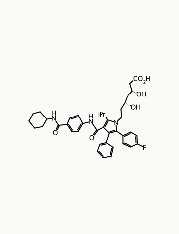 CC(C)c1c(C(=O)Nc2ccc(C(=O)NC3CCCCC3)cc2)c(-c2ccccc2)c(-c2ccc(F)cc2)n1CC[C@@H](O)C[C@@H](O)CC(=O)O